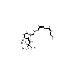 CC/C=C\C/C=C\CCCN1CCN(C)C1=NC(C)(C)C